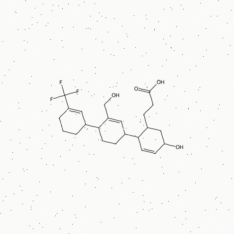 O=C(O)CCC1CC(O)C=CC1C1C=C(CO)C(C2C=C(C(F)(F)F)CCC2)CC1